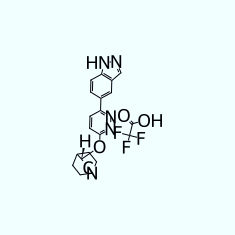 O=C(O)C(F)(F)F.c1cc2[nH]ncc2cc1-c1ccc(O[C@@H]2CN3CCC2CC3)nn1